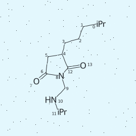 CC(C)CCCC1CC(=O)N(CNC(C)C)C1=O